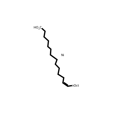 CCCCCCCC/C=C\CCCCCCCCCCCC(=O)O.[Ni]